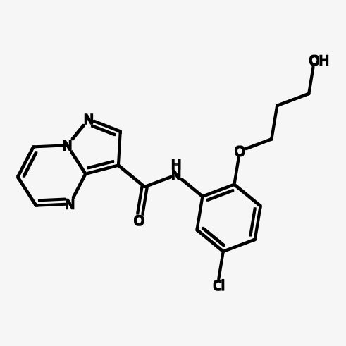 O=C(Nc1cc(Cl)ccc1OCCCO)c1cnn2cccnc12